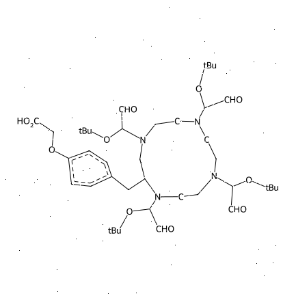 CC(C)(C)OC(C=O)N1CCN(C(C=O)OC(C)(C)C)CCN(C(C=O)OC(C)(C)C)C(Cc2ccc(OCC(=O)O)cc2)CN(C(C=O)OC(C)(C)C)CC1